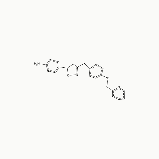 Nc1ccc(C2CC(Cc3ccc(OCc4ccccn4)cc3)=NO2)cn1